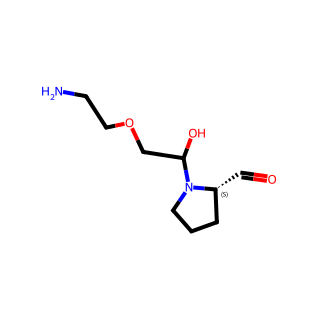 NCCOCC(O)N1CCC[C@H]1C=O